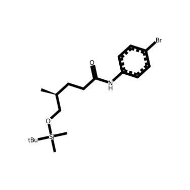 C[C@@H](CCC(=O)Nc1ccc(Br)cc1)CO[Si](C)(C)C(C)(C)C